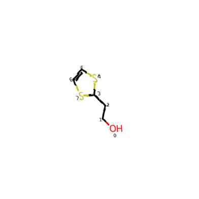 OCCC1SC=CS1